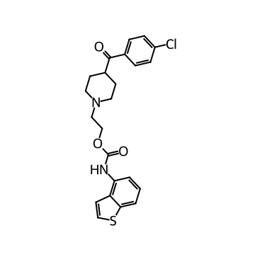 O=C(Nc1cccc2sccc12)OCCN1CCC(C(=O)c2ccc(Cl)cc2)CC1